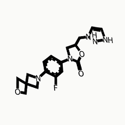 O=C1OC(CN2C=CNN2)CN1c1ccc(N2CC3(COC3)C2)c(F)c1